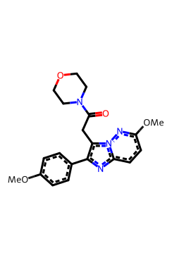 COc1ccc(-c2nc3ccc(OC)nn3c2CC(=O)N2CCOCC2)cc1